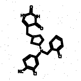 N#Cc1ccc(N(Cc2ccccc2Cl)[C@H]2CCN(Cc3c[nH]c(=O)[nH]c3=O)C2)cc1Cl